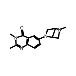 Cc1nc2ccc(N3CC4C3CN4C)cc2c(=O)n1C